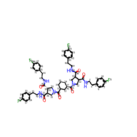 O=C(NCCc1ccc(F)cc1)C1CN(C(=O)[C@@H]2CCCC(C(=O)N3CC(C(=O)NCCc4ccc(F)cc4)[C@H](C(=O)NCCc4ccc(F)cc4)C3)C2)CC1C(=O)NCCc1ccc(F)cc1